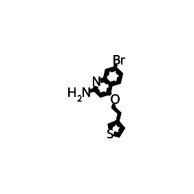 Nc1cc(OCCc2ccsc2)c2ccc(Br)cc2n1